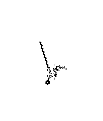 CCCCCCCCCCCCCCCCCCOCCOP(=O)(COC(CF)CN1C=NC2C(=O)N=C(N)N=C21)OCc1ccccc1